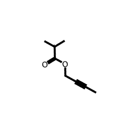 CC#CCOC(=O)[C](C)C